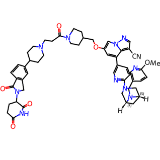 COc1ccc(CN2[C@@H]3C[C@H]2CN(c2ccc(-c4cc(OCC5CCN(C(=O)CCN6CCC(c7ccc8c(c7)CN(C7CCC(=O)NC7=O)C8=O)CC6)CC5)cn5ncc(C#N)c45)cn2)C3)cn1